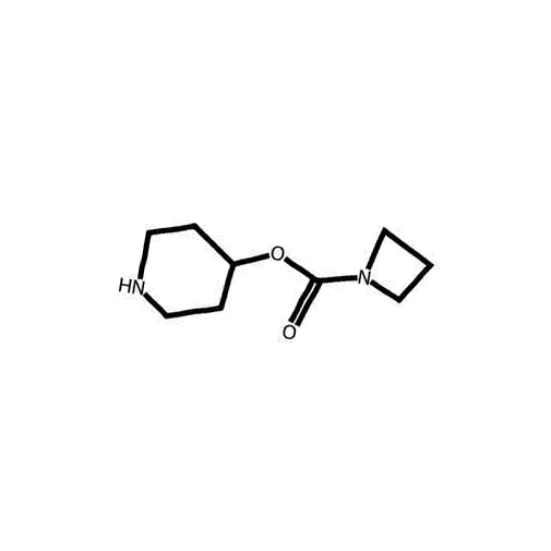 O=C(OC1CCNCC1)N1CCC1